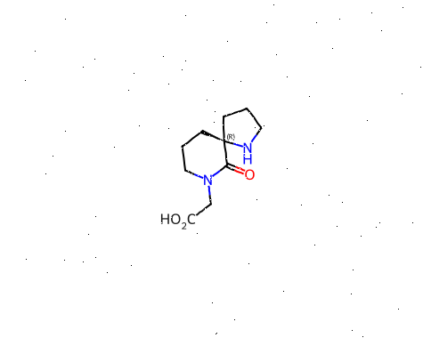 O=C(O)CN1CCC[C@]2(CCCN2)C1=O